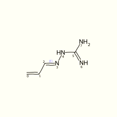 C=C/C=N/NC(=N)N